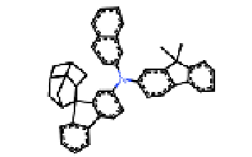 CC1(C)c2ccccc2-c2ccc(N(c3ccc4c(c3)C3(c5ccccc5-4)C4CC5CC(C4)CC3C5)c3ccc4ccccc4c3)cc21